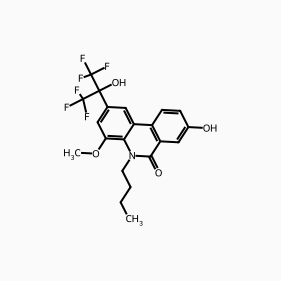 CCCCn1c(=O)c2cc(O)ccc2c2cc(C(O)(C(F)(F)F)C(F)(F)F)cc(OC)c21